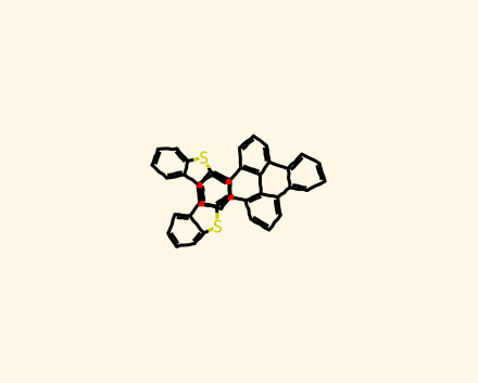 c1ccc2c(c1)sc1c(-c3cccc4c5ccccc5c5cccc(-c6cccc7c6sc6ccccc67)c5c34)cccc12